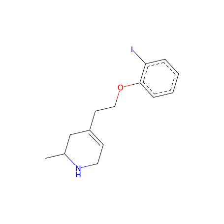 CC1CC(CCOc2ccccc2I)=CCN1